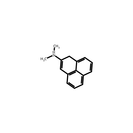 C[SiH](C)C1=Cc2cccc3cccc(c23)C1